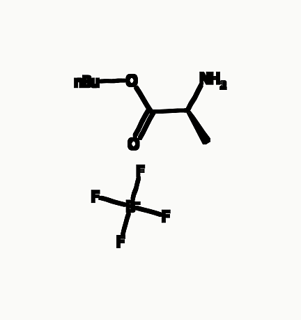 CCCCOC(=O)[C@H](C)N.F[B-](F)(F)F